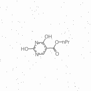 CCCOC(=O)c1cnc(O)nc1O